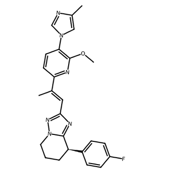 COc1nc(/C(C)=C/c2nc3n(n2)CCC[C@@H]3c2ccc(F)cc2)ccc1-n1cnc(C)c1